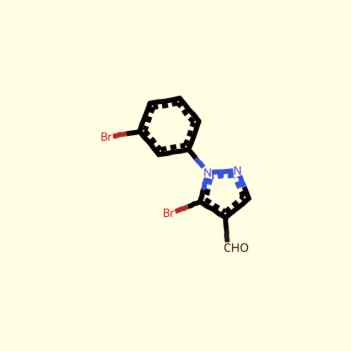 O=Cc1cnn(-c2cccc(Br)c2)c1Br